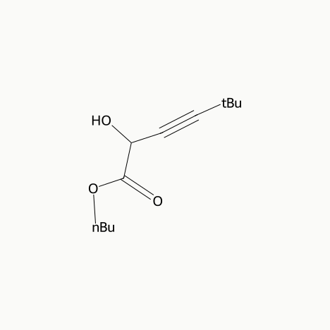 CCCCOC(=O)C(O)C#CC(C)(C)C